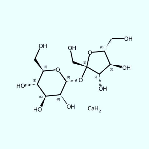 OC[C@H]1O[C@@](CO)(O[C@H]2O[C@H](CO)[C@@H](O)[C@H](O)[C@H]2O)[C@@H](O)[C@@H]1O.[CaH2]